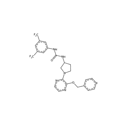 O=C(Nc1cc(C(F)(F)F)cc(C(F)(F)F)c1)NC1CCN(c2nccnc2OCc2ccncc2)C1